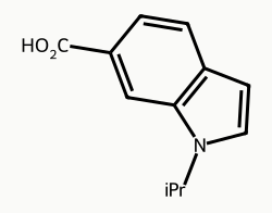 CC(C)n1ccc2ccc(C(=O)O)cc21